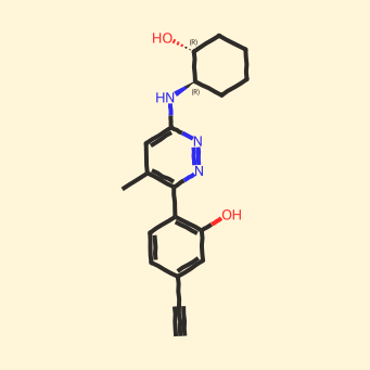 C#Cc1ccc(-c2nnc(N[C@@H]3CCCC[C@H]3O)cc2C)c(O)c1